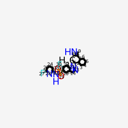 CC(c1ccccc1C1CNC1)n1ncc2cc(S(=O)(=O)Nc3cccc(F)n3)c(F)cc21